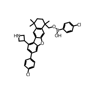 CC1(C)CCC(C)(COB(O)c2ccc(Cl)cc2)c2cc3oc4cc(-c5ccc(Cl)cc5)cc(C5CNC5)c4c3cc21